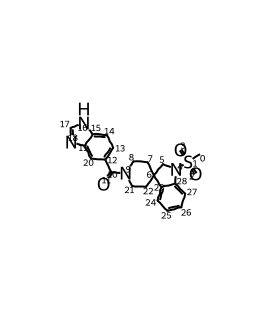 CS(=O)(=O)N1CC2(CCN(C(=O)c3ccc4[nH]cnc4c3)CC2)c2ccccc21